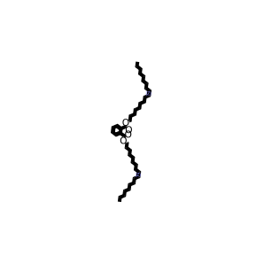 CCCCCCCC/C=C\CCCCCCCCOC(=O)c1ccccc1C(=O)OCCCCCCCC/C=C\CCCCCCCC